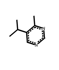 Cc1n[c]ncc1C(C)C